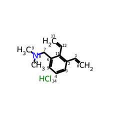 C=Cc1cccc(CN(C)C)c1C=C.Cl